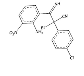 CCC(C#N)(C(=N)c1cccc([N+](=O)[O-])c1N)c1ccc(Cl)cc1